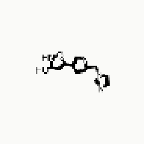 OC1C=C(c2ccc(Cn3ccnc3)nc2)ON1